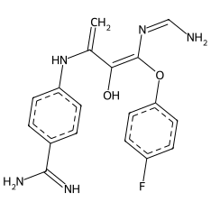 C=C(Nc1ccc(C(=N)N)cc1)/C(O)=C(\N=C/N)Oc1ccc(F)cc1